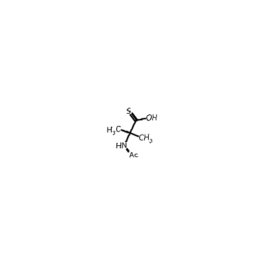 CC(=O)NC(C)(C)C(O)=S